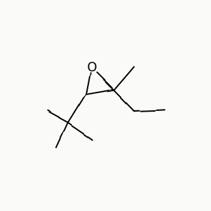 CCC1(C)OC1C(C)(C)C